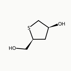 OC[C@@H]1C[C@H](O)CS1